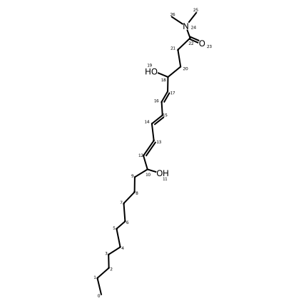 CCCCCCCCCCC(O)C=CC=CC=CC(O)CCC(=O)N(C)C